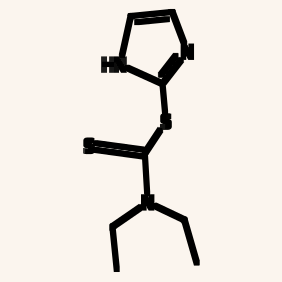 CCN(CC)C(=S)Sc1ncc[nH]1